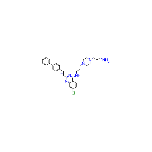 NCCCN1CCN(CCCNc2nc(/C=C/c3ccc(-c4ccccc4)cc3)nc3cc(Cl)ccc23)CC1